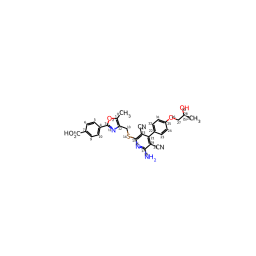 Cc1oc(-c2ccc(C(=O)O)cc2)nc1CSc1nc(N)c(C#N)c(-c2ccc(OC[C@H](C)O)cc2)c1C#N